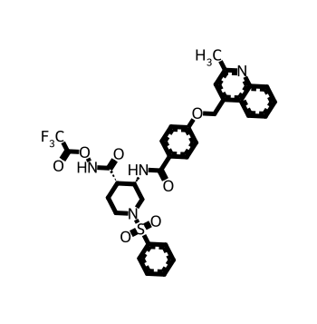 Cc1cc(COc2ccc(C(=O)N[C@@H]3CN(S(=O)(=O)c4ccccc4)CC[C@@H]3C(=O)NOC(=O)C(F)(F)F)cc2)c2ccccc2n1